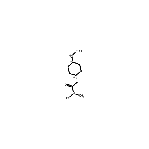 CCN(C)C(=O)C[C@@H]1CC[C@@H](NC(=O)O)CO1